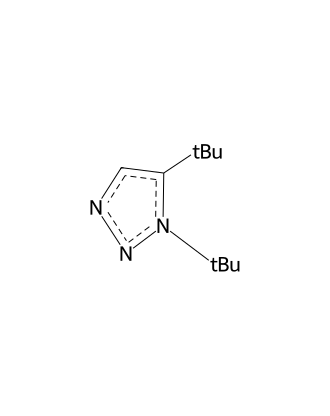 CC(C)(C)c1cnnn1C(C)(C)C